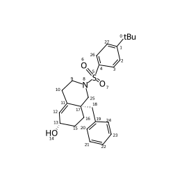 CC(C)(C)c1ccc(S(=O)(=O)N2CCC3=C[C@@H](O)CC[C@]3(Cc3ccccc3)C2)cc1